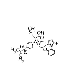 CSCC[C@@H](C(=O)O)N(c1ccc(S(=O)(=O)C(C)C)cc1)N1CCC2(CC1)Oc1ccccc1-n1c(F)ccc12